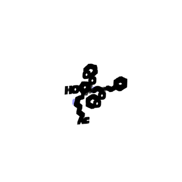 CC(=O)CCC/C=C\C[C@@H]1[C@@H](/C=C/[C@H](CCc2ccccc2)OC2CCCCO2)[C@H](OC2CCCCO2)C[C@@H]1O